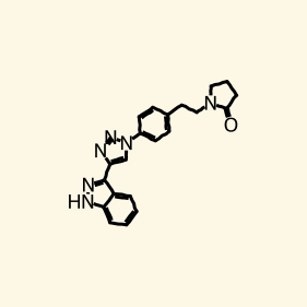 O=C1CCCN1CCc1ccc(-n2cc(-c3n[nH]c4ccccc34)nn2)cc1